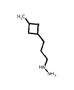 CC1CC(CCCNN)C1